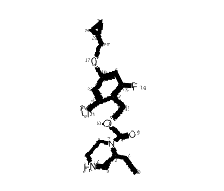 CCC1CNCCN1C(=O)OCc1c(F)cc(OCC2CC2)cc1Cl